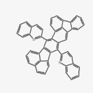 c1ccc2nc(-c3c4cc5c6ccccc6c6cccc(c4c(-c4ccc7ccccc7n4)c4c7cccc8cccc(c34)c87)c65)ccc2c1